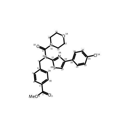 COC(=O)c1ccc(CN(C(=O)N2CCOCC2)c2nc(-c3ccc(Cl)cc3)cs2)cc1